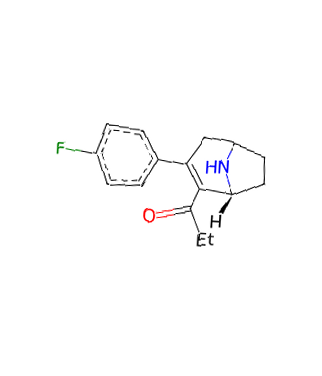 CCC(=O)C1=C(c2ccc(F)cc2)CC2CC[C@H]1N2